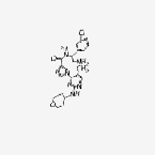 [2H]N(C(=O)c1cn(-c2nc(NC3CCOCC3)ncc2C)cn1)[C@H](CN)c1cccc(Cl)c1